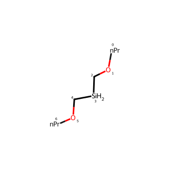 CCCOC[SiH2]COCCC